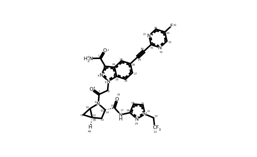 NC(=O)c1nn(CC(=O)N2C3C[C@@H]3C[C@H]2C(=O)Nc2ccn(CC(F)(F)F)n2)c2ccc(C#Cc3ncc(F)cn3)cc12